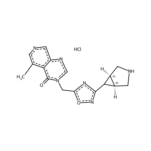 Cc1cncc2ncn(Cc3nc(C4[C@H]5CNC[C@@H]45)no3)c(=O)c12.Cl